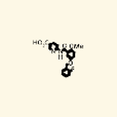 COc1ccc(OCc2ccccc2F)cc1C(=O)Nc1ccc(C(=O)O)cn1